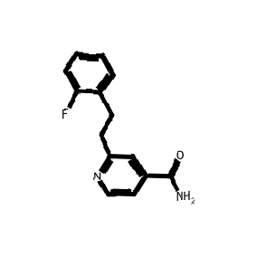 NC(=O)c1ccnc(CCc2ccccc2F)c1